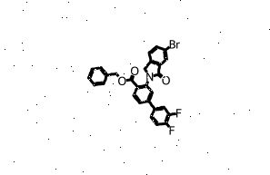 O=C(OCc1ccccc1)c1ccc(-c2ccc(F)c(F)c2)cc1N1Cc2ccc(Br)cc2C1=O